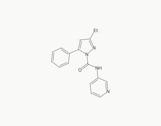 CCc1[c]c(-c2ccccc2)n(C(=O)Nc2cccnc2)n1